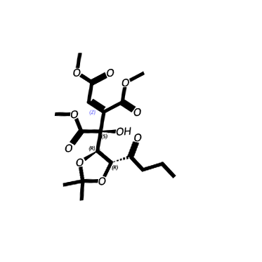 CCCC(=O)[C@@H]1OC(C)(C)O[C@H]1[C@](O)(C(=O)OC)/C(=C/C(=O)OC)C(=O)OC